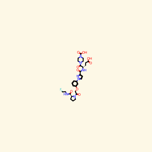 O=C(O)CC[C@H](NC(=O)c1ccn(-c2cccc(OCC(=O)N3CCC[C@H]3C(=O)NCCF)c2)n1)C(=O)N1CCN(C(=O)O)CC1